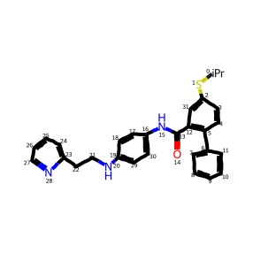 CC(C)Sc1ccc(-c2ccccc2)c(C(=O)Nc2ccc(NCCc3ccccn3)cc2)c1